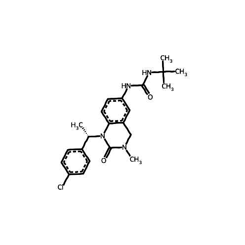 C[C@@H](c1ccc(Cl)cc1)N1C(=O)N(C)Cc2cc(NC(=O)NC(C)(C)C)ccc21